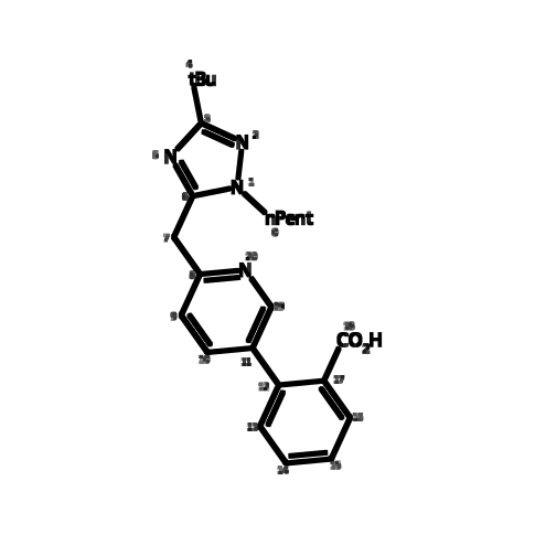 CCCCCn1nc(C(C)(C)C)nc1Cc1ccc(-c2ccccc2C(=O)O)cn1